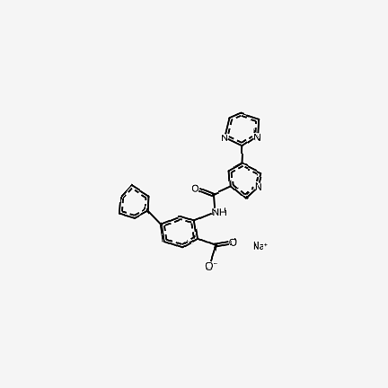 O=C(Nc1cc(-c2ccccc2)ccc1C(=O)[O-])c1cncc(-c2ncccn2)c1.[Na+]